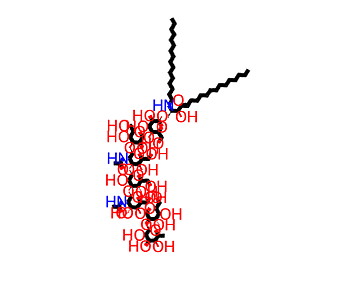 CCCCCCCCCCCCC/C=C/[C@@H](O)[C@H](CO[C@@H]1OC(CO)[C@@H](O[C@@H]2OC(CO)[C@H](O)[C@H](O[C@@H]3OC(CO)[C@@H](O)[C@H](O[C@@H]4OC(CO)[C@H](O)[C@H](O[C@@H]5OC(CO)[C@@H](O[C@@H]6OC(CO)[C@H](O)[C@H](O)C6O[C@H]6OC(C)[C@@H](O)C(O)[C@@H]6O)[C@H](O)C5NC(C)=O)C4O)C3NC(C)=O)C2O)[C@H](O)C1O)NC(=O)CCCCCCCCCCCCCCC